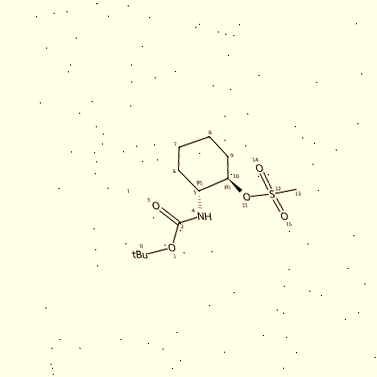 CC(C)(C)OC(=O)N[C@@H]1CCCC[C@H]1OS(C)(=O)=O